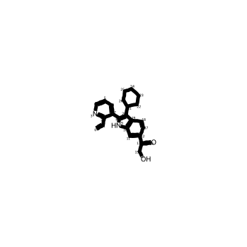 C=Cc1ncccc1-c1[nH]c2cc(C(=O)CO)ccc2c1C1CCCCC1